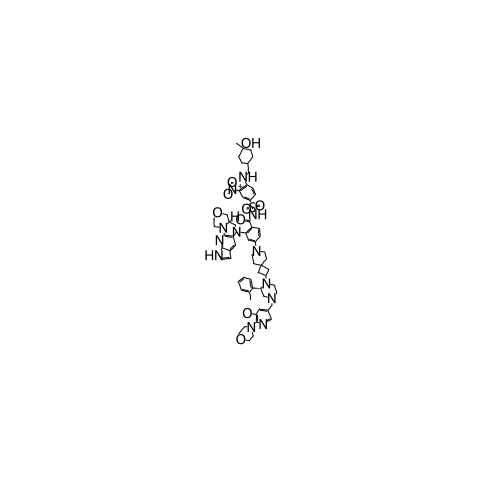 COc1cc(CN2CCN(C3CC4(CCN(c5ccc(C(=O)NS(=O)(=O)c6ccc(NCC7CCC(C)(O)CC7)c([N+](=O)[O-])c6)c(N6C[C@H]7COCCN7c7nc8[nH]ccc8cc76)c5)CC4)C3)[C@H](c3ccccc3C)C2)cnc1N1CCOCC1